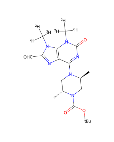 [2H]C([2H])([2H])n1c(C=O)nc2c(N3C[C@@H](C)N(C(=O)OC(C)(C)C)C[C@@H]3C)nc(=O)n(C([2H])([2H])[2H])c21